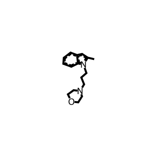 Cc1cc2ccccc2n1CCCN1CCOCC1